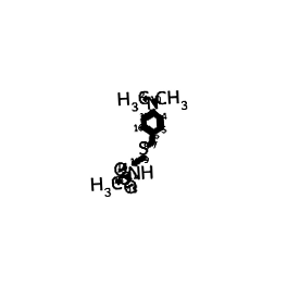 CN(C)c1ccc(CSCCNS(C)(=O)=O)cc1